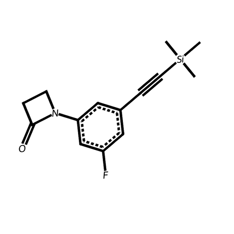 C[Si](C)(C)C#Cc1cc(F)cc(N2CCC2=O)c1